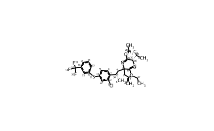 C=CCC1(C[C@H](C)c2ccc(Sc3cccc(C(F)(F)F)c3)cc2Cl)N=C(OCC)[C@H](C(C)C)N=C1OCC